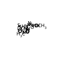 CN1CCN(C(=O)Cn2cc(Nc3nc4c(N(C)CC5CCCC(I)N5C(=O)C5CSC5)cccn4n3)cn2)CC1